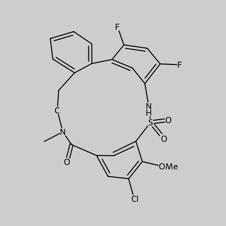 COc1c(Cl)cc2cc1S(=O)(=O)Nc1cc(c(F)cc1F)-c1ccccc1CCN(C)C2=O